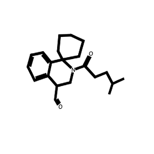 CC(C)CCC(=O)N1CC(C=O)c2ccccc2C12CCCCC2